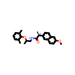 COc1ccc2cc([C@H](C)C(=O)NCC(C)Oc3c(C)cccc3C)ccc2c1